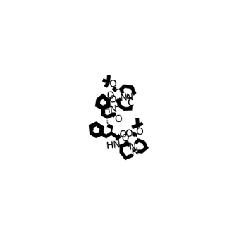 CC(C)(C)OC(=O)[C@@H]1CCCN2CCC[C@H](NC(=O)[C@H](CC[C@H](Cc3ccccc3)C(=O)N[C@H]3CCCN4CCC[C@@H](C(=O)OC(C)(C)C)N4C3=O)Cc3ccccc3)C(=O)N12